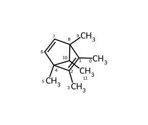 CC1=C(C)C2(C)C=CC1(C)C2C